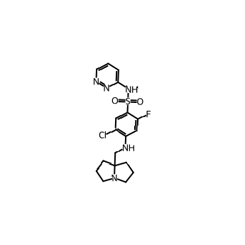 O=S(=O)(Nc1cccnn1)c1cc(Cl)c(NCC23CCCN2CCC3)cc1F